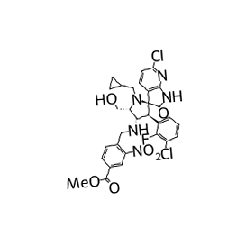 COC(=O)c1ccc(CN[C@@H]2[C@H](CO)N(CC3CC3)[C@@]3(C(=O)Nc4nc(Cl)ccc43)[C@H]2c2cccc(Cl)c2F)c([N+](=O)[O-])c1